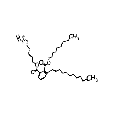 CCCCCCCCCCCc1cccc(C(=O)OCCCCCCC)c1C(=O)OCCCCCCCCC